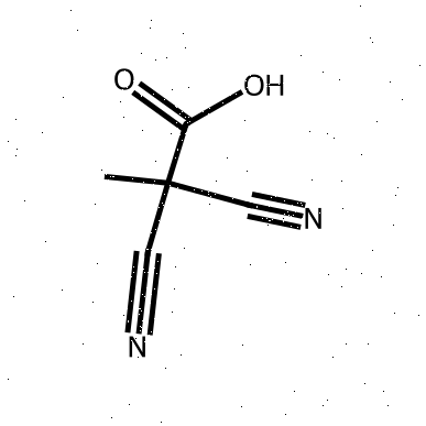 CC(C#N)(C#N)C(=O)O